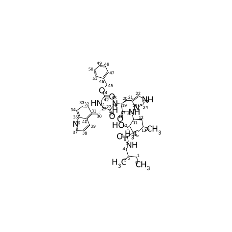 CCC(C)CNC(=O)C[C@H](O)[C@H](CC(C)C)NC(=O)[C@H](Cc1c[nH]cn1)NC(=O)[C@H](Cc1cccc2ncccc12)NC(=O)OCc1ccccc1